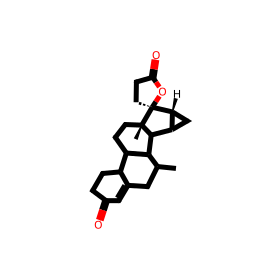 CC1CC2=CC(=O)CCC2C2CC[C@@]3(C)C(C12)C1C[C@H]1[C@@]31CCC(=O)O1